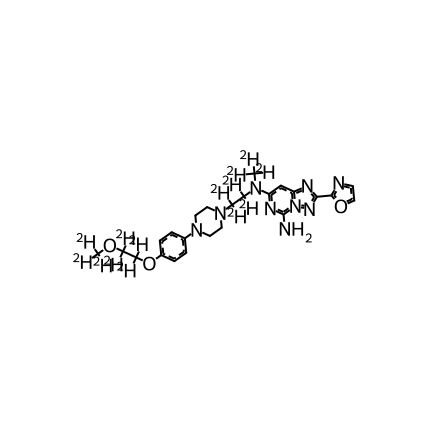 [2H]C([2H])([2H])OC([2H])([2H])C([2H])([2H])Oc1ccc(N2CCN(C([2H])([2H])C([2H])([2H])N(c3cc4nc(-c5ncco5)nn4c(N)n3)C([2H])([2H])[2H])CC2)cc1